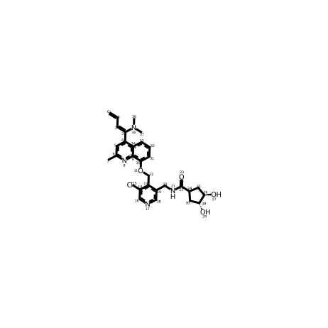 C=C/C=C(/c1cc(C)nc2c(OCc3c(Cl)cncc3CNC(=O)C3C[C@@H](O)[C@H](O)C3)cccc12)N(C)C